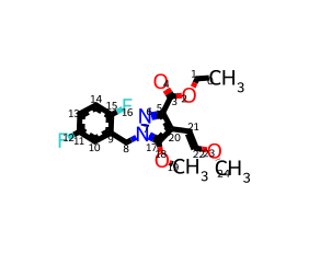 CCOC(=O)c1nn(Cc2cc(F)ccc2F)c(OC)c1C=COC